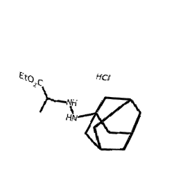 CCOC(=O)C(C)NNC12CC3CC(CC(C3)C1)C2.Cl